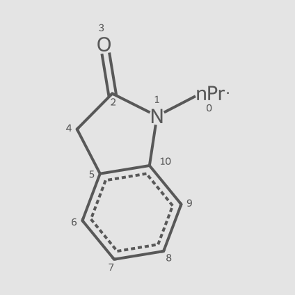 CC[CH]N1C(=O)Cc2ccccc21